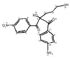 O=C(c1ccc([N+](=O)[O-])cc1)C(O)(CCCO)C(=O)c1ccc([N+](=O)[O-])cc1